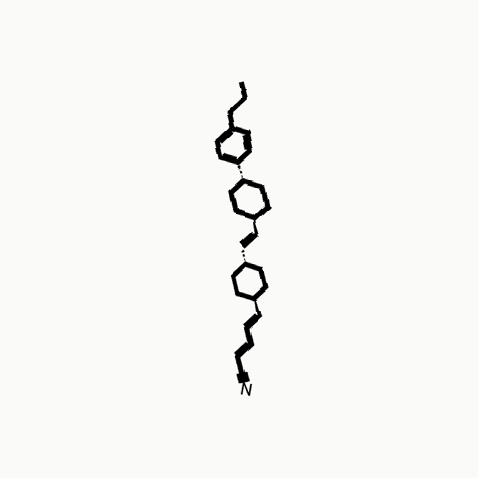 CCCc1ccc([C@H]2CC[C@H](/C=C/[C@H]3CC[C@H](C=CC=CC#N)CC3)CC2)cc1